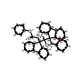 CC(C)(C1(CC(=O)Oc2ccccc2)c2ccccc2-c2ccccc21)C1(Cc2ccccc2)c2ccccc2-c2ccccc21